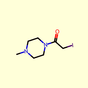 CN1CCN(C(=O)CI)CC1